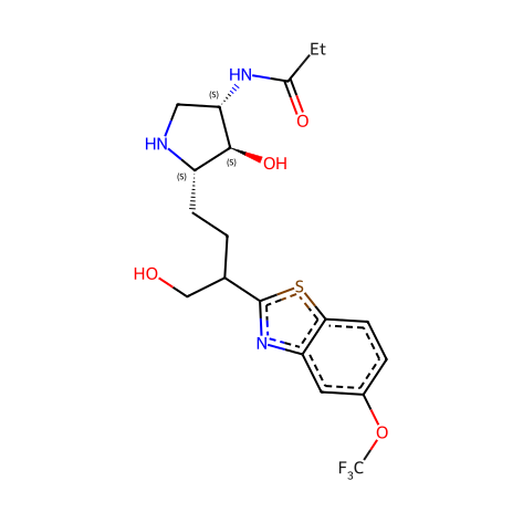 CCC(=O)N[C@H]1CN[C@@H](CCC(CO)c2nc3cc(OC(F)(F)F)ccc3s2)[C@@H]1O